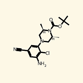 C[C@@H]1CN(c2cc(C#N)cc(N)c2Cl)C[C@@H](C)N1C(=O)OC(C)(C)C